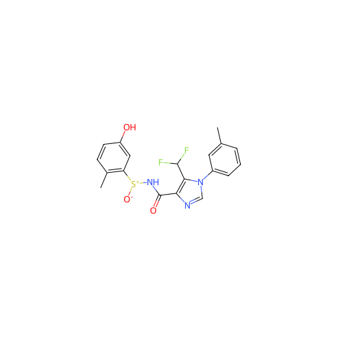 Cc1cccc(-n2cnc(C(=O)N[S+]([O-])c3cc(O)ccc3C)c2C(F)F)c1